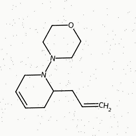 C=CCC1CC=CCN1N1CCOCC1